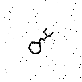 CO[SiH](OC)OCC1NCCCCCCN1